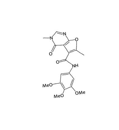 COc1cc(NC(=O)c2c(C)oc3ncn(C)c(=O)c23)cc(OC)c1OC